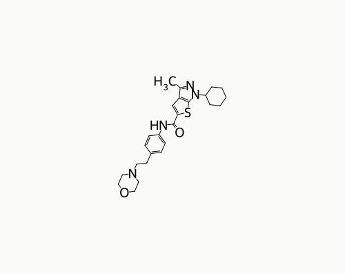 Cc1nn(C2CCCCC2)c2sc(C(=O)Nc3ccc(CCN4CCOCC4)cc3)cc12